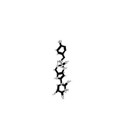 CCc1ccc(CN[P@]2(=O)OCc3oc(-n4cc(F)c(=O)[nH]c4=O)cc3O2)cc1